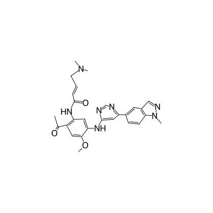 COc1cc(C(C)=O)c(NC(=O)/C=C/CN(C)C)cc1Nc1cc(-c2ccc3c(cnn3C)c2)ncn1